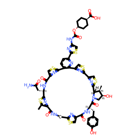 Cc1sc2nc1C(=O)NCc1nc(cs1)C(=O)N[C@@H](Cc1ccc(O)cc1)C(=O)N1C[C@H](O)[C@H](C)[C@H]1c1nc(cs1)-c1nc(cs1)-c1nc(-c3nc(NC(=O)O[C@H]4CC[C@H](C(=O)O)CC4)cs3)ccc1-c1nc(cs1)C(=O)N[C@H]2CC(N)=O